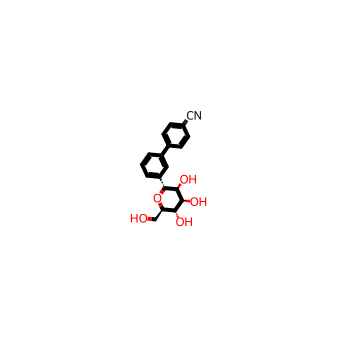 N#Cc1ccc(-c2cccc([C@H]3O[C@H](CO)[C@@H](O)[C@H](O)[C@@H]3O)c2)cc1